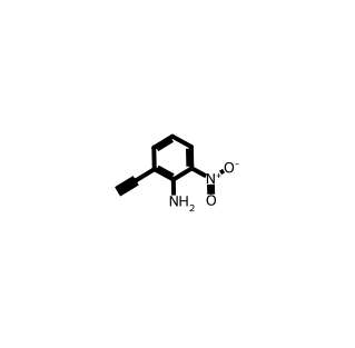 C#Cc1cccc([N+](=O)[O-])c1N